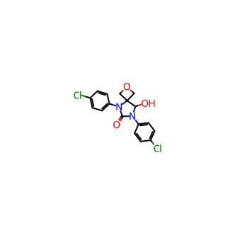 O=C1N(c2ccc(Cl)cc2)C(O)C2(COC2)N1c1ccc(Cl)cc1